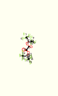 O=C(O[SiH](C(F)(F)F)C(F)(F)F)C(=O)O[SiH](C(F)(F)F)C(F)(F)F